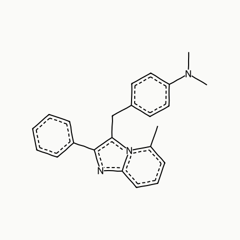 Cc1cccc2nc(-c3ccccc3)c(Cc3ccc(N(C)C)cc3)n12